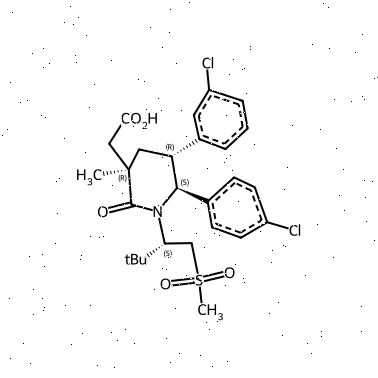 CC(C)(C)[C@@H](CS(C)(=O)=O)N1C(=O)[C@@](C)(CC(=O)O)C[C@H](c2cccc(Cl)c2)[C@H]1c1ccc(Cl)cc1